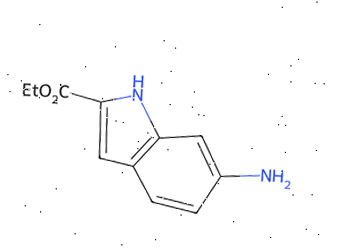 CCOC(=O)c1cc2ccc(N)cc2[nH]1